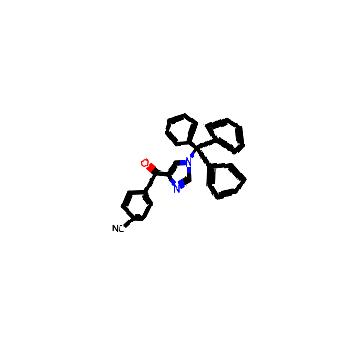 N#Cc1ccc(C(=O)c2cn(C(c3ccccc3)(c3ccccc3)c3ccccc3)cn2)cc1